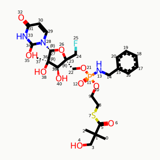 CC(C)(CO)C(=O)SCCOP(=O)(NCc1ccccc1)OC[C@@]1(CF)O[C@@H](N2C=CC(=O)NC2O)[C@](C)(O)[C@@H]1O